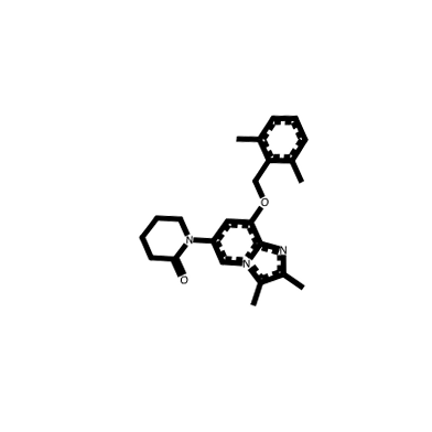 Cc1cccc(C)c1COc1cc(N2CCCCC2=O)cn2c(C)c(C)nc12